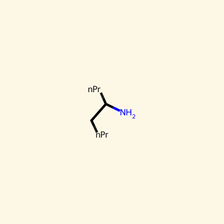 [CH2]CCC(N)CCCC